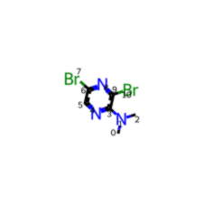 CN(C)c1ncc(Br)nc1Br